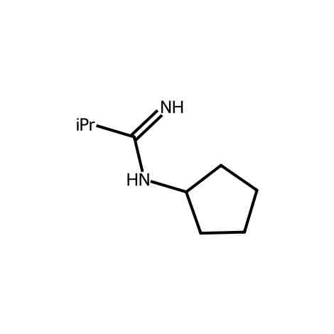 CC(C)C(=N)NC1CCCC1